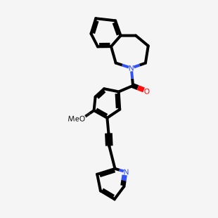 COc1ccc(C(=O)N2CCCc3ccccc3C2)cc1C#Cc1ccccn1